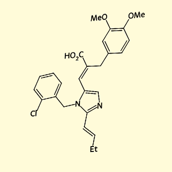 CC/C=C/c1ncc(/C=C(\Cc2ccc(OC)c(OC)c2)C(=O)O)n1Cc1ccccc1Cl